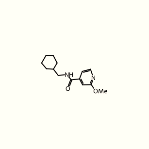 COc1cc(C(=O)NCC2CCCCC2)ccn1